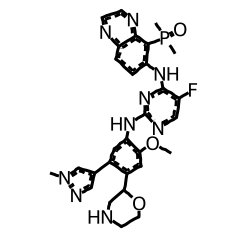 COc1cc(C2CNCCO2)c(-c2cnn(C)c2)cc1Nc1ncc(F)c(Nc2ccc3nccnc3c2P(C)(C)=O)n1